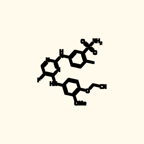 COc1cc(Nc2nc(Nc3ccc(C)c(S(N)(=O)=O)c3)ncc2F)ccc1OCC#N